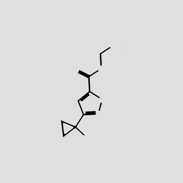 CCOC(=O)c1cc(C2(F)CC2)n[nH]1